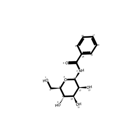 O=C(N[C@@H]1O[C@H](CO)[C@@H](O)[C@H](O)[C@@H]1O)c1ccccc1